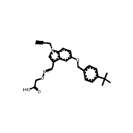 C#CCn1cc(/C=N/OCC(=O)O)c2cc(OCc3ccc(C(C)(C)C)cc3)ccc21